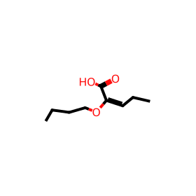 CC/C=C(/OCCCC)C(=O)O